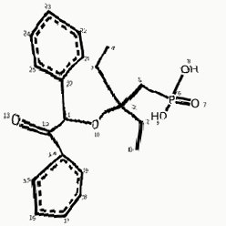 CCC(CC)(CP(=O)(O)O)OC(C(=O)c1ccccc1)c1ccccc1